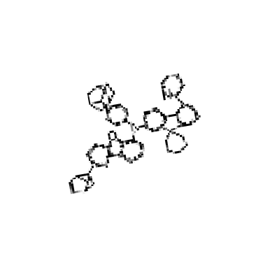 C1=CC2CC1C=C2c1ccc2oc3c(N(c4ccc(C5C6CC7CC(C6)C5C7)cc4)c4ccc5c(c4)C4(CCCCC4)c4cccc(-c6ccccn6)c4-5)cccc3c2c1